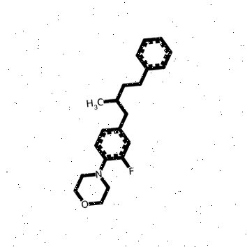 CC(CCc1ccccc1)Cc1ccc(N2CCOCC2)c(F)c1